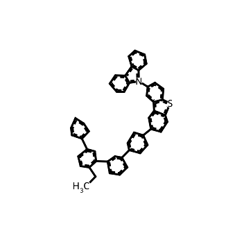 CCc1ccc(-c2ccccc2)cc1-c1cccc(-c2ccc(-c3ccc4sc5ccc(-n6c7ccccc7c7ccccc76)cc5c4c3)cc2)c1